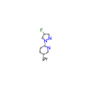 CC(C)c1ccc(-n2cc(F)cn2)nc1